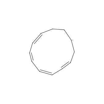 [CH]1CC=CC=CC=CC=CCC1